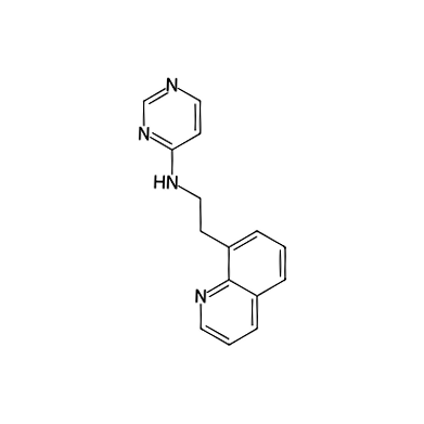 c1cnc2c(CCNc3ccncn3)cccc2c1